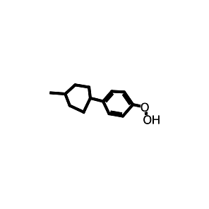 CC1CCC(c2ccc(OO)cc2)CC1